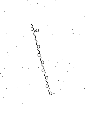 CCOC(=O)CCCCCOCCOCCOCCOCCOCCOCCO